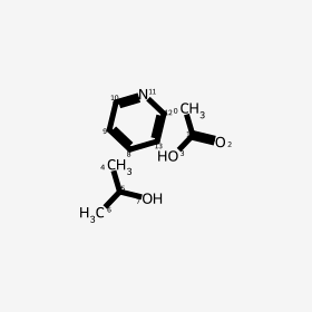 CC(=O)O.CC(C)O.c1ccncc1